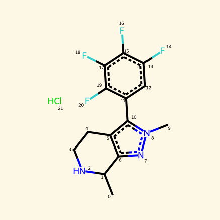 CC1NCCc2c1nn(C)c2-c1cc(F)c(F)c(F)c1F.Cl